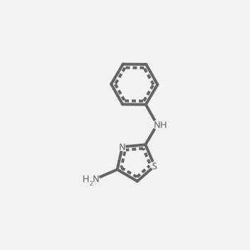 Nc1csc(Nc2ccccc2)n1